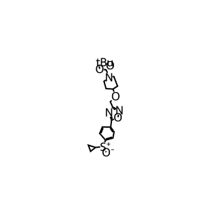 CC(C)(C)OC(=O)N1CCC(OCc2noc(-c3ccc([S+]([O-])C4CC4)cc3)n2)CC1